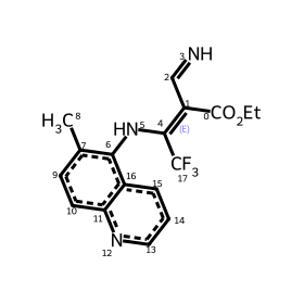 CCOC(=O)/C(C=N)=C(/Nc1c(C)ccc2ncccc12)C(F)(F)F